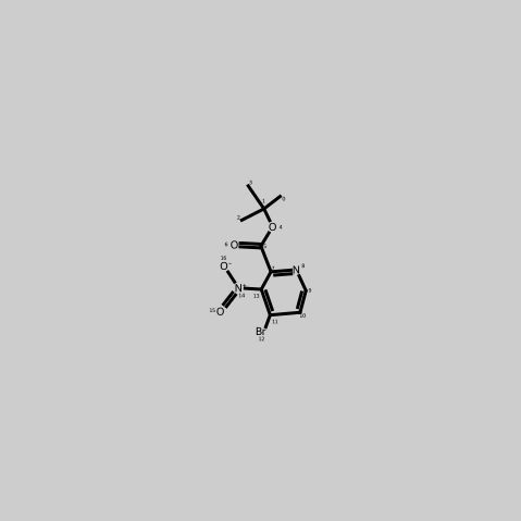 CC(C)(C)OC(=O)c1nccc(Br)c1[N+](=O)[O-]